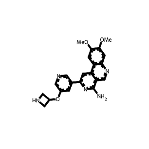 COc1cc2ncc3c(N)nc(-c4cncc(OC5CNC5)c4)cc3c2cc1OC